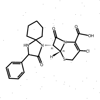 O=C(O)C1=C(Cl)CS[C@@H]2[C@H](N3C(=O)C(c4ccccc4)NC34CCCCC4)C(=O)N12